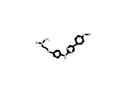 CCOc1ccc(-c2cnc(Nc3ccc(OCCN(C)CC)cc3)nc2)cc1